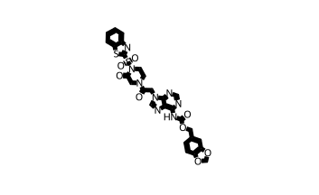 O=C(Nc1ncnc2c1ncn2CC(=O)N1CCN(S(=O)(=O)c2nc3ccccc3s2)C(=O)C1)OCc1ccc2c(c1)OCO2